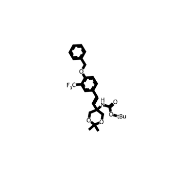 CC(C)(C)OC(=O)NC1(C=Cc2ccc(OCc3ccccc3)c(C(F)(F)F)c2)COC(C)(C)OC1